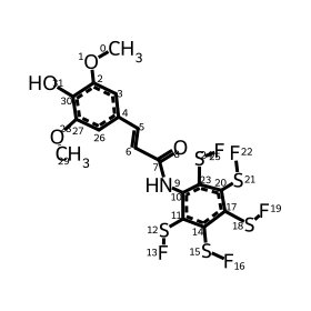 COc1cc(C=CC(=O)Nc2c(SF)c(SF)c(SF)c(SF)c2SF)cc(OC)c1O